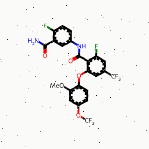 COc1cc(OC(F)(F)F)ccc1Oc1cc(C(F)(F)F)cc(F)c1C(=O)Nc1ccc(F)c(C(N)=O)c1